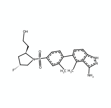 Cc1cc(S(=O)(=O)N2C[C@H](F)C[C@H]2CCO)ccc1-c1ccc2[nH]nc(N)c2c1C